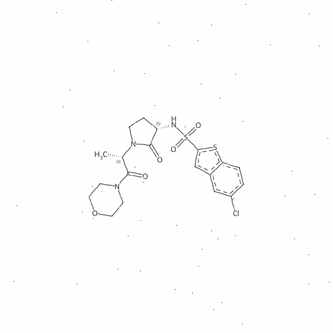 C[C@@H](C(=O)N1CCOCC1)N1CC[C@H](NS(=O)(=O)c2cc3cc(Cl)ccc3s2)C1=O